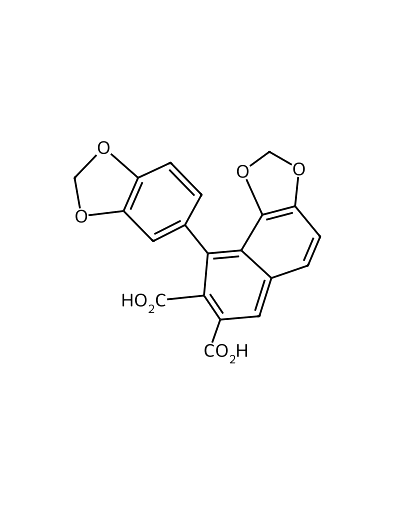 O=C(O)c1cc2ccc3c(c2c(-c2ccc4c(c2)OCO4)c1C(=O)O)OCO3